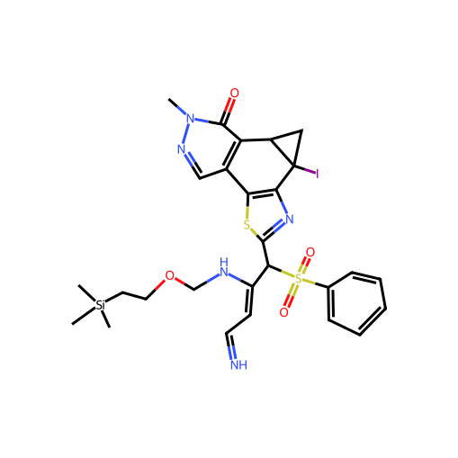 Cn1ncc2c(c1=O)C1CC1(I)c1nc(C(/C(=C/C=N)NCOCC[Si](C)(C)C)S(=O)(=O)c3ccccc3)sc1-2